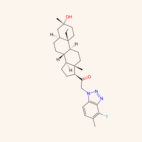 CC[C@]12CC[C@@](C)(O)C[C@@H]1CC[C@H]1[C@@H]3CC[C@H](C(=O)Cn4nnc5c(F)c(C)ccc54)[C@@]3(C)CC[C@@H]12